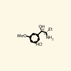 CC[C@H](N)[C@H](O)c1cccc(OC)c1.Cl